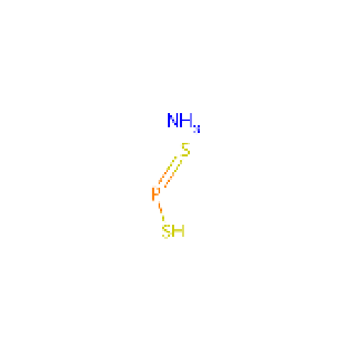 N.S=PS